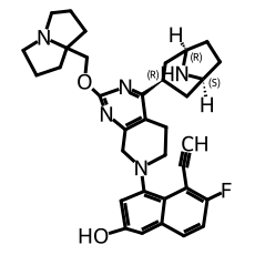 C#Cc1c(F)ccc2cc(O)cc(N3CCc4c(nc(OCC56CCCN5CCC6)nc4[C@H]4C[C@H]5CC[C@@H](C4)N5)C3)c12